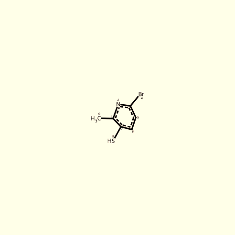 Cc1nc(Br)ccc1S